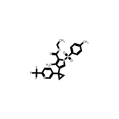 CCOC(=O)c1c(C)c(C2(c3ccc(C(F)(F)F)nc3)CC2)cn1S(=O)(=O)c1ccc(C)cc1